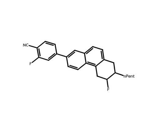 CCCCCC1Cc2ccc3cc(-c4ccc(C#N)c(F)c4)ccc3c2CC1F